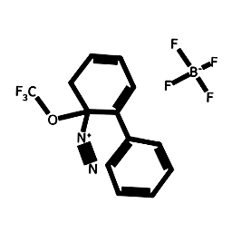 F[B-](F)(F)F.N#[N+]C1(OC(F)(F)F)CC=CC=C1c1ccccc1